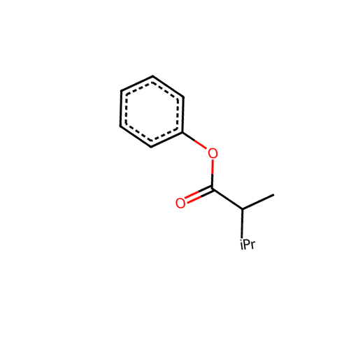 CC(C)C(C)C(=O)Oc1ccccc1